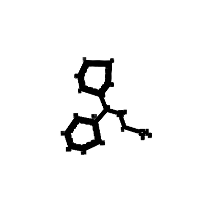 C[CH2][Al][CH](c1ccccc1)c1ccccc1